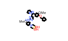 COc1ccc(N2CCS(O)(O)CC2)cc1Nc1nccc(-c2c(-c3ccc(OCc4ccccc4)c(OC)c3)nc3ccccn23)n1